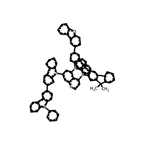 CC1(C)c2ccccc2-c2cc3c4ccccc4n(-c4ccnc5cc(-n6c7ccccc7c7ccc(-c8ccc9c(c8)c8ccccc8n9-c8ccccc8)cc76)cc(-n6c7ccccc7c7cc(-c8ccc9oc%10ccccc%10c9c8)ccc76)c45)c3cc21